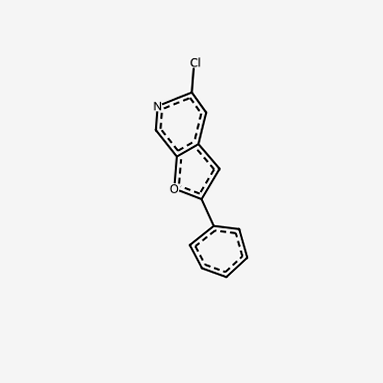 Clc1cc2cc(-c3ccccc3)oc2cn1